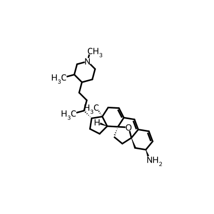 CC1CN(C)CCC1CCC(C)[C@H]1CC[C@@H]2[C@]1(C)CC=C1C=C3C=C[C@@H](N)C[C@]34CC[C@@]12O4